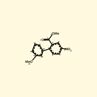 COC(=O)c1cc([N+](=O)[O-])ccc1-c1cccc(OC)c1